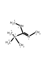 C/N=C(\NC)[N+](C)(C)C